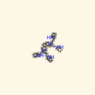 C(=C\c1cc2ccccc2[nH]1)/c1cc(/C=C/c2cc3ccccc3[nH]2)[n+]2c(c1)Cc1c(ccc3c1Cc1cc(/C=C/c4cc5ccccc5[nH]4)cc(/C=C/c4cc5ccccc5[nH]4)[n+]1CC3)CC2